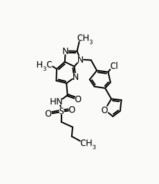 CCCCS(=O)(=O)NC(=O)c1cc(C)c2nc(C)n(Cc3ccc(-c4ccco4)cc3Cl)c2n1